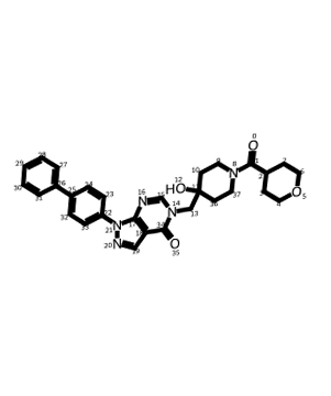 O=C(C1CCOCC1)N1CCC(O)(Cn2cnc3c(cnn3-c3ccc(-c4ccccc4)cc3)c2=O)CC1